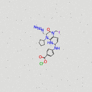 [N-]=[N+]=NC[C@@H]1C(=O)N(CI)C2=C(NC(Nc3ccc(C(=O)OCl)cc3)C=C2)N1C1CCCC1